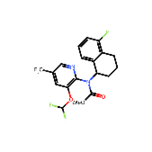 COC(=O)N(c1ncc(C(F)(F)F)cc1OC(F)F)C1CCCc2c(F)cccc21